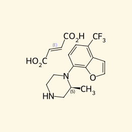 C[C@H]1CNCCN1c1ccc(C(F)(F)F)c2ccoc12.O=C(O)/C=C/C(=O)O